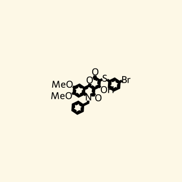 COc1cc2c3oc(=O)c(Sc4cccc(Br)c4)c(O)c3c(=O)n(Cc3ccccc3)c2cc1OC